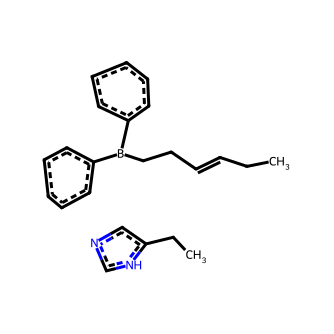 CCC=CCCB(c1ccccc1)c1ccccc1.CCc1cnc[nH]1